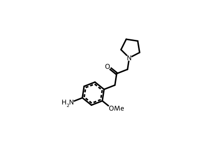 COc1cc(N)ccc1CC(=O)CN1CCCC1